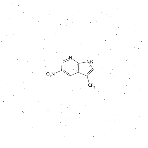 O=[N+]([O-])c1cnc2[nH]cc(C(F)(F)F)c2c1